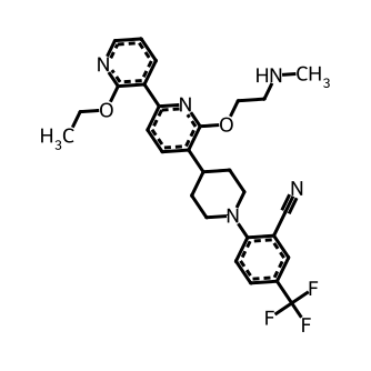 CCOc1ncccc1-c1ccc(C2CCN(c3ccc(C(F)(F)F)cc3C#N)CC2)c(OCCNC)n1